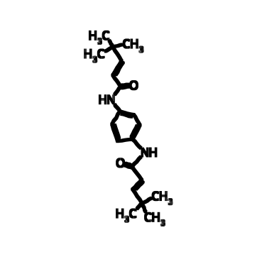 CC(C)(C)/C=C/C(=O)Nc1ccc(NC(=O)/C=C/C(C)(C)C)cc1